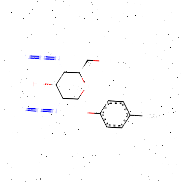 COc1ccc(O[C@H]2O[C@H](CO)[C@@H](N=[N+]=[N-])[C@H](O)[C@H]2N=[N+]=[N-])cc1